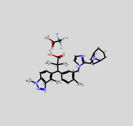 Cc1ccc(C(c2ccc3c(nnn3C)c2C)C(C)(C)C(=O)O)cc1Cn1ccnc1CN1C2CCCC1CC2.O=C(O)C(F)(F)F